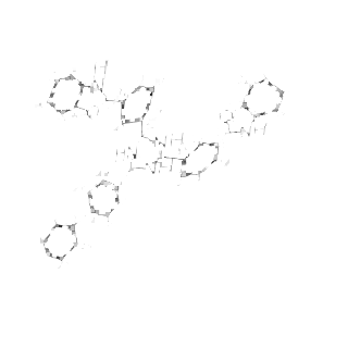 c1ccc(-c2ccc(C3NC(c4cccc(C5Nc6ccccc6O5)c4)NC(c4cccc(C5Nc6ccccc6O5)c4)N3)cc2)cc1